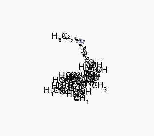 CCCCCC/C=C\CCCCCCCC(=O)NC1C(O)[C@H](O)C(CO)O[C@H]1O[C@@H]1C(CO)O[C@@H](O[C@H]2C(CO)O[C@@H](O[C@@H]3C(COS(=O)(=O)O)O[C@@H](O)C(NC(C)=O)C3O)C(NC(C)=O)C2O)C(NC(C)=O)C1O